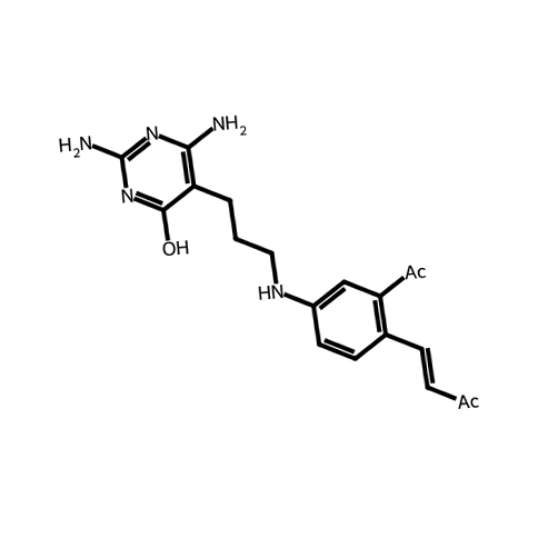 CC(=O)/C=C/c1ccc(NCCCc2c(N)nc(N)nc2O)cc1C(C)=O